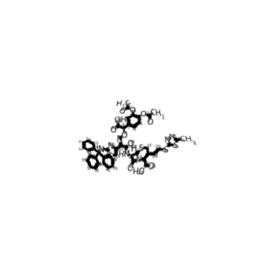 CC(=O)Oc1ccc([C@@H](O/N=C(\C(=O)N[C@@H]2C(=O)N3C(C(=O)O)=C(/C=C/Sc4nnc(C)s4)CS[C@@H]23)c2csc(NC(c3ccccc3)(c3ccccc3)c3ccccc3)n2)C(=O)O)cc1OC(C)=O